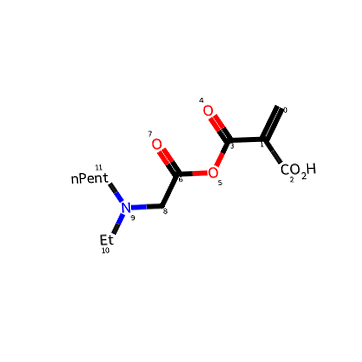 C=C(C(=O)O)C(=O)OC(=O)CN(CC)CCCCC